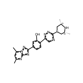 Cc1cc(C)n2nc(-c3ccc(-c4cnc(N5C[C@@H](C)N[C@@H](C)C5)nn4)c(O)c3)nc2n1